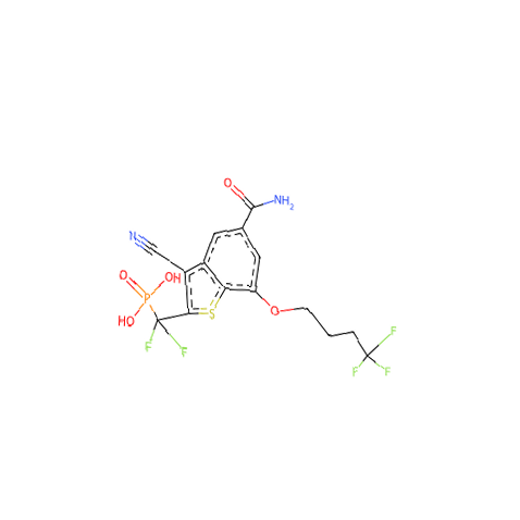 N#Cc1c(C(F)(F)P(=O)(O)O)sc2c(OCCCC(F)(F)F)cc(C(N)=O)cc12